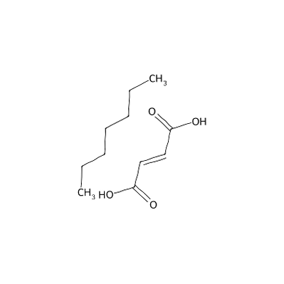 CCCCCCC.O=C(O)/C=C/C(=O)O